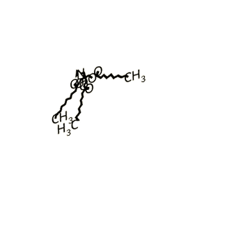 CCCCCCCCCC(=O)OCC(COC(=O)CCCCCCCCC)(COC(=O)CCCCCCCCC)CN1CC1